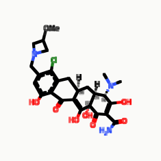 COC1CN(Cc2cc(O)c3c(c2Cl)C[C@H]2C[C@H]4[C@H](N(C)C)C(O)=C(C(N)=O)C(=O)[C@@]4(O)C(O)=C2C3=O)C1